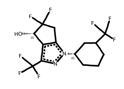 O[C@H]1c2c(C(F)(F)F)nn([C@H]3CCCC(C(F)(F)F)C3)c2CC1(F)F